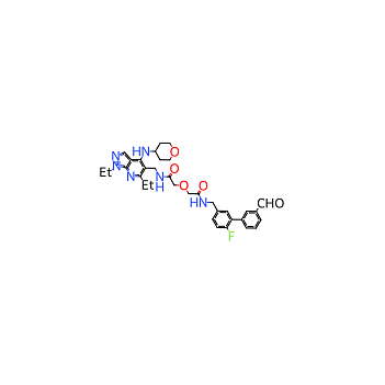 CCc1nc2c(cnn2CC)c(NC2CCOCC2)c1CNC(=O)COCC(=O)NCc1ccc(F)c(-c2cccc(C=O)c2)c1